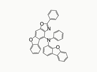 c1ccc(-c2nc3c(N(c4ccccc4)c4cccc5c4oc4ccccc45)c4c(cc3o2)oc2ccccc24)cc1